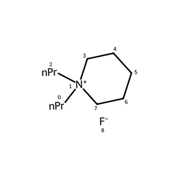 CCC[N+]1(CCC)CCCCC1.[F-]